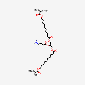 CCCCCCC(CCCC)C(=O)OCCCCCCCCCC(=O)OCC(COC(=O)CCCCCCCCCOC(=O)C(CCCC)CCCCCC)OC(=O)CCCN(C)C